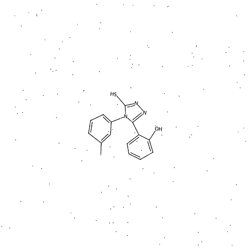 Cc1cccc(-n2c(S)nnc2-c2ccccc2O)c1